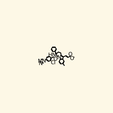 COC(=O)C=Cc1c2n(c3ccc(C)cc13)CC(NC(=O)c1ccc(-n3cnnc3)cc1Cl)(c1ccccc1)CC2